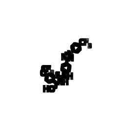 OCC(NC(=S)Nc1ccc(-c2ncn(-c3ccc(C(F)(F)F)cc3)n2)cc1)c1ccc(OC(F)(F)F)cc1